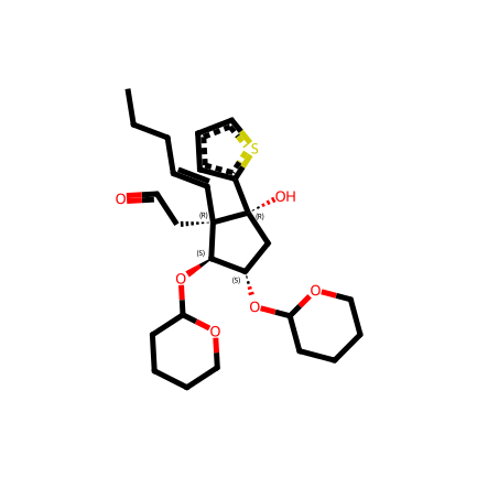 CCCC=C[C@]1(CC=O)[C@H](OC2CCCCO2)[C@@H](OC2CCCCO2)C[C@]1(O)c1cccs1